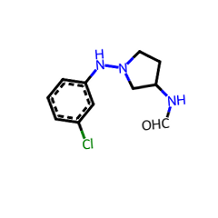 O=CNC1CCN(Nc2cccc(Cl)c2)C1